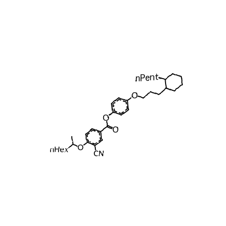 CCCCCCC(C)Oc1ccc(C(=O)Oc2ccc(OCCCC3CCCCC3CCCCC)cc2)cc1C#N